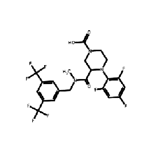 CN(Cc1cc(C(F)(F)F)cc(C(F)(F)F)c1)C(=O)C1CN(C(=O)O)CCN1c1c(F)cc(F)cc1F